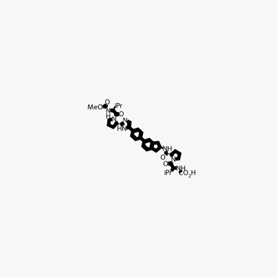 COC(=O)N[C@H](C(=O)N1CCC[C@H]1c1ncc(-c2ccc(-c3ccc4c(c3)C[C@@H](NC(=O)[C@@H]3CCCN3C(=O)C(NC(=O)O)C(C)C)C4)cc2)[nH]1)C(C)C